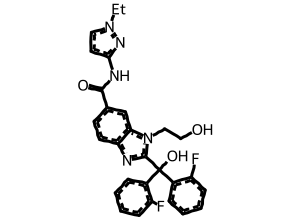 CCn1ccc(NC(=O)c2ccc3nc(C(O)(c4ccccc4F)c4ccccc4F)n(CCO)c3c2)n1